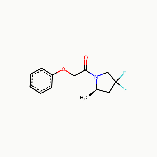 C[C@@H]1CC(F)(F)CN1C(=O)COc1ccccc1